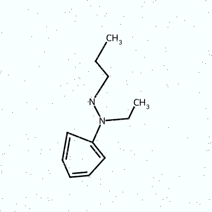 CCC[N]N(CC)c1ccccc1